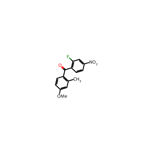 COc1ccc(C(=O)c2ccc([N+](=O)[O-])cc2F)c(C)c1